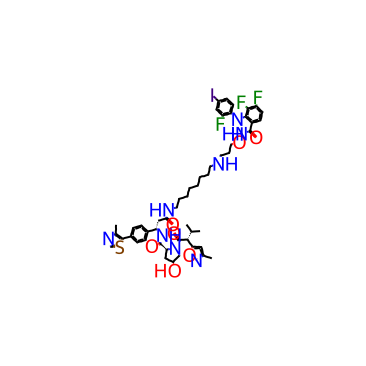 Cc1cc([C@H](C(=O)N2C[C@H](O)C[C@H]2C(=O)N[C@@H](CC(=O)NCCCCCCCCNCCCONC(=O)c2ccc(F)c(F)c2Nc2ccc(I)cc2F)c2ccc(-c3scnc3C)cc2)C(C)C)on1